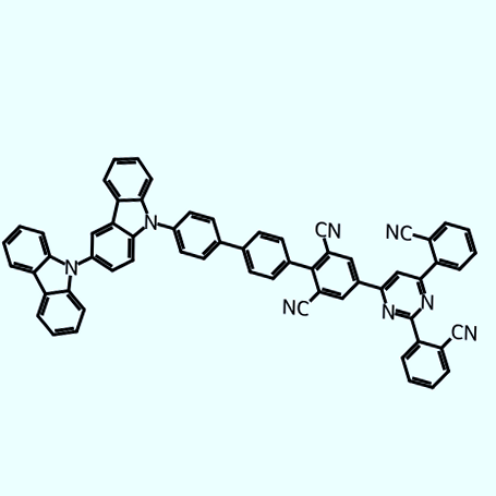 N#Cc1ccccc1-c1cc(-c2cc(C#N)c(-c3ccc(-c4ccc(-n5c6ccccc6c6cc(-n7c8ccccc8c8ccccc87)ccc65)cc4)cc3)c(C#N)c2)nc(-c2ccccc2C#N)n1